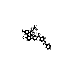 CCc1cccc(-c2c(Cl)cccc2[C@](O)(CCCNC(=O)OC)[C@@H]2CCCN(C(=O)c3ccc(CNC4CCCCC4)cc3)C2)c1